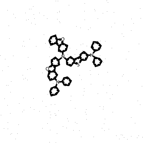 c1ccc(N(c2ccccc2)c2ccc3c(c2)sc2ccc(N(c4ccc5oc6ccccc6c5c4)c4ccc5oc6ccc(N(c7ccccc7)c7ccccc7)cc6c5c4)cc23)cc1